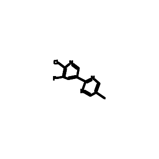 Cc1cnc(-c2cnc(Cl)c(F)c2)nc1